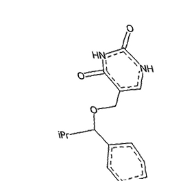 CC(C)C(OCc1c[nH]c(=O)[nH]c1=O)c1ccccc1